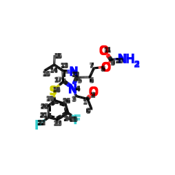 CC(=O)Cn1c(CCOC(N)=O)nc(C(C)C)c1Sc1cc(F)cc(F)c1